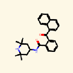 CC1(C)CC(NC(=O)c2ccccc2C(=O)c2cccc3ccccc23)CC(C)(C)N1